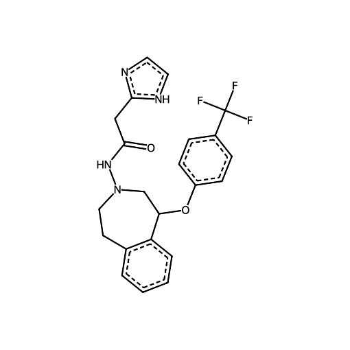 O=C(Cc1ncc[nH]1)NN1CCc2ccccc2C(Oc2ccc(C(F)(F)F)cc2)C1